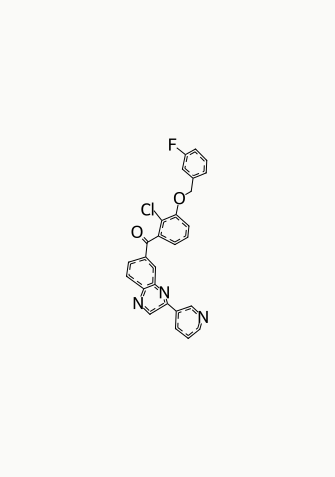 O=C(c1ccc2ncc(-c3cccnc3)nc2c1)c1cccc(OCc2cccc(F)c2)c1Cl